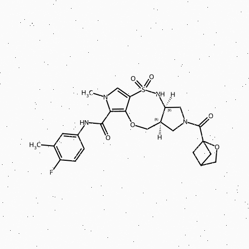 Cc1cc(NC(=O)c2c3c(cn2C)S(=O)(=O)N[C@H]2CN(C(=O)C45CC(CO4)C5)C[C@H]2CO3)ccc1F